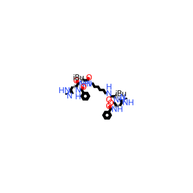 CCC(C)[C@H](NC(=O)[C@H](Cc1cnc[nH]1)NC(=O)c1ccccc1)C(=O)NCCCCCCNC(=O)[C@H](NC(=O)[C@@H](Cc1cnc[nH]1)NC(=O)c1ccccc1)C(C)CC